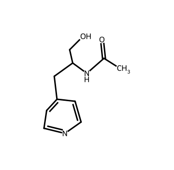 CC(=O)NC(CO)Cc1ccncc1